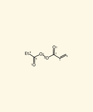 C=CC(=O)OOC(=O)CC